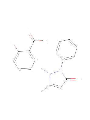 Cc1cc(=O)n(-c2ccccc2)n1C.O=C(O)c1ccccc1O